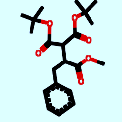 COC(=O)C(Cc1ccccc1)C(C(=O)OC(C)(C)C)C(=O)OC(C)(C)C